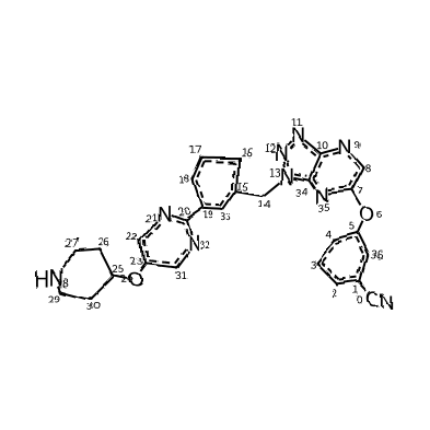 N#Cc1cccc(Oc2cnc3nnn(Cc4cccc(-c5ncc(OC6CCNCC6)cn5)c4)c3n2)c1